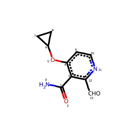 NC(=O)c1c(OC2CC2)ccnc1C=O